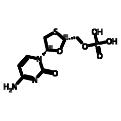 Nc1ccn([C@@H]2CS[C@H](COP(=O)(O)O)O2)c(=O)n1